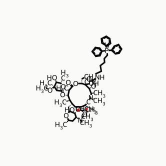 CC[C@H]1OC(=O)[C@H](C)[C@@H](O[C@H]2C[C@@](C)(OC)[C@@H](O)[C@H](C)O2)[C@H](C)[C@@H](C[C@@H]2O[C@H](C)C[C@H](N(C)C)[C@H]2OC(C)=O)[C@](C)(O)C[C@@H](C)CN(C)[C@H](C)[C@@H](OC(=O)NCCCCCC[PH](c2ccccc2)(c2ccccc2)c2ccccc2)[C@]1(C)O